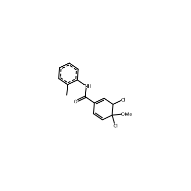 COC1(Cl)C=CC(C(=O)Nc2ccccc2C)=CC1Cl